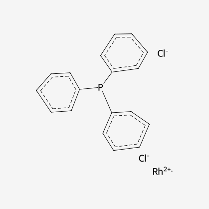 [Cl-].[Cl-].[Rh+2].c1ccc(P(c2ccccc2)c2ccccc2)cc1